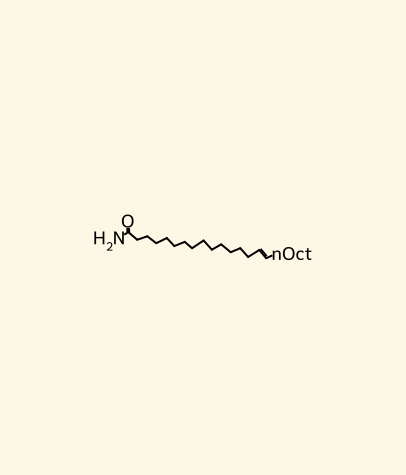 CCCCCCCCC=CCCCCCCCCCCCCCC(N)=O